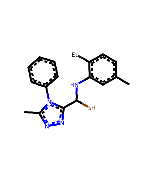 CCc1ccc(C)cc1NC(S)c1nnc(C)n1-c1ccccc1